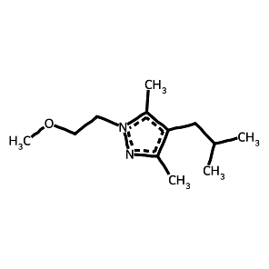 COCCn1nc(C)c(CC(C)C)c1C